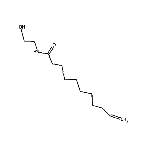 C=CCCCCCCCCC(=O)NCCO